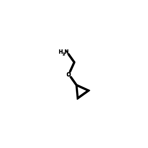 NCOC1CC1